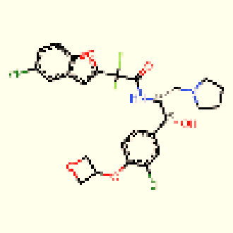 O=C(N[C@H](CN1CCCC1)[C@H](O)c1ccc(OC2COC2)c(Cl)c1)C(F)(F)c1cc2cc(Cl)ccc2o1